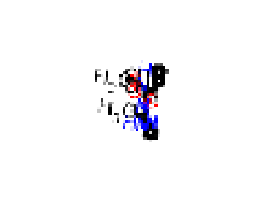 CC1CC(c2nc3ccccc3[nH]2)CN(C(=O)C[C@@H](Cc2ccc3ccccc3c2)NC(=O)OC(C)(C)C)C1